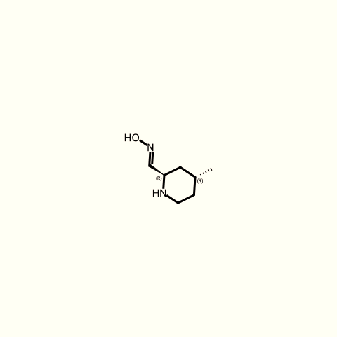 C[C@@H]1CCN[C@@H](C=NO)C1